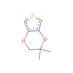 CC1(C)COc2cscc2O1